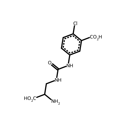 NC(CNC(=O)Nc1ccc(Cl)c(C(=O)O)c1)C(=O)O